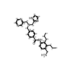 CCCc1c(CN)ccc(NC(=O)c2ccc(CN(Cc3cnccn3)Cc3ncc[nH]3)cc2)c1CCC